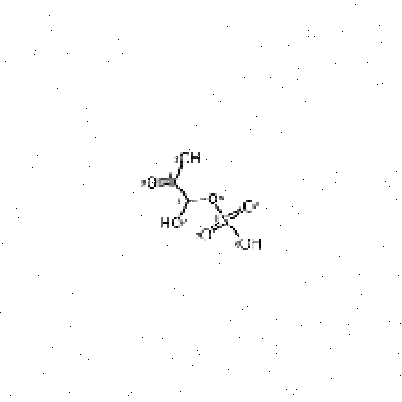 O=C(O)C(O)OS(=O)(=O)O